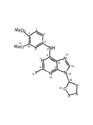 COc1ccc(Nc2nc(I)nc3c2ncn3C2CCCO2)cc1OC